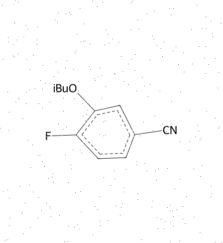 CC(C)COc1cc(C#N)ccc1F